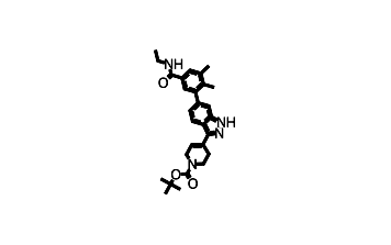 CCNC(=O)c1cc(C)c(C)c(-c2ccc3c(C4=CCN(C(=O)OC(C)(C)C)CC4)n[nH]c3c2)c1